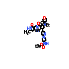 CCCc1cc(C)[nH]c(=O)c1CNC(=O)c1cc(-c2ccc(N3CCC(NC(=O)OC(C)(C)C)CC3)nc2)cc(N(CC)C2CCOCC2)c1C